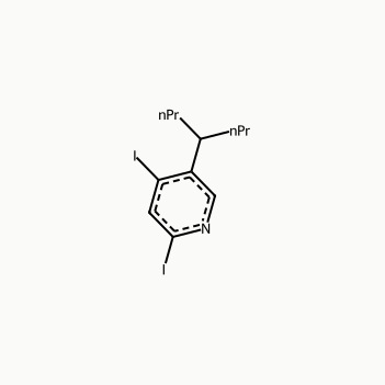 CCCC(CCC)c1cnc(I)cc1I